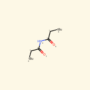 CC(C)(C)CC(=O)NC(=O)CC(C)(C)C